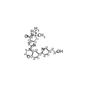 CC1(C)Cc2nc(N3CCOc4ccc(-c5ccc(CCO)cn5)cc43)sc2C(=O)N1